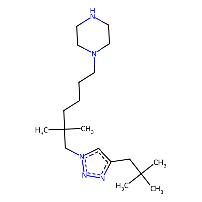 CC(C)(C)Cc1cn(CC(C)(C)CCCCN2CCNCC2)nn1